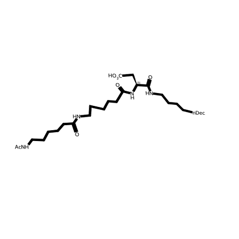 CCCCCCCCCCCCCCNC(=O)[C@H](CC(=O)O)NC(=O)CCCCCNC(=O)CCCCCNC(C)=O